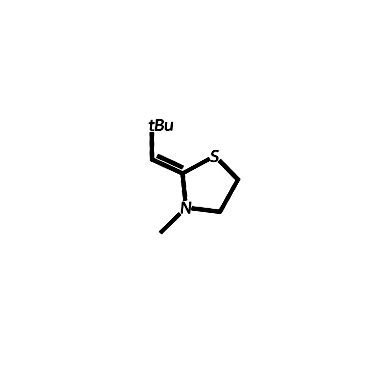 CN1CCS/C1=C\C(C)(C)C